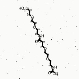 CCC(=O)NCCOCCOCCC(=O)NCCOCCOCCC(=O)O